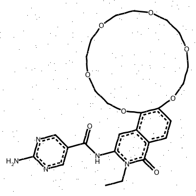 CCn1c(NC(=O)c2cnc(N)nc2)cc2c3c(ccc2c1=O)OCCOCCOCCOCCOCCO3